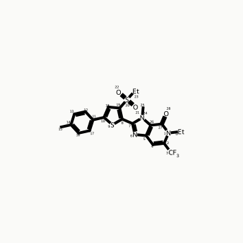 CCn1c(C(F)(F)F)cc2nc(-c3sc(-c4ccc(C)cc4)cc3S(=O)(=O)CC)n(C)c2c1=O